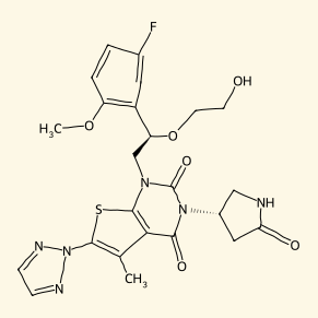 COc1ccc(F)cc1[C@H](Cn1c(=O)n([C@@H]2CNC(=O)C2)c(=O)c2c(C)c(-n3nccn3)sc21)OCCO